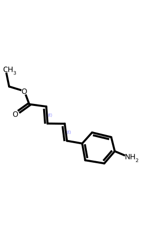 CCOC(=O)/C=C/C=C/c1ccc(N)cc1